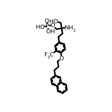 NC(CO)(CCc1ccc(OCCCc2ccc3ccccc3c2)c(C(F)(F)F)c1)COP(=O)(O)O